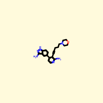 Nc1nccc(-c2ccc3[nH]nc(N)c3c2)c1C#CCCCN1CCOCC1